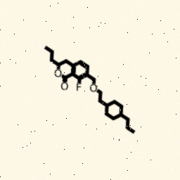 CCCC1CCC(CCOCc2ccc3c(c2F)C(=O)OC(CCC)C3)CC1